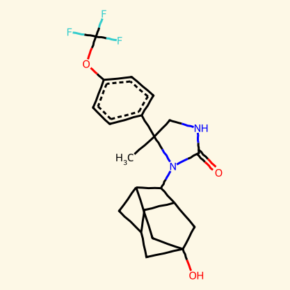 CC1(c2ccc(OC(F)(F)F)cc2)CNC(=O)N1C1C2CC3CC1CC(O)(C3)C2